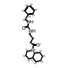 O=C(NCCCC(=O)N1CCCC2CCCCC21)NCc1ccccc1